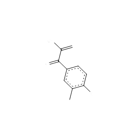 C=C(CCC)C(=O)c1ccc(Cl)c(C)c1